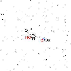 Cc1cccc(CC/C=C/[C@@H]2[C@H]3CC(CCCCCC(=O)N(C)C(C)(C)C)=C[C@H]3C[C@H]2O)c1